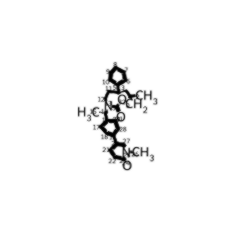 C=C(C)C[C@]1(c2ccccc2)CCN([C@@H](C)c2ccc(-c3ccc(=O)n(C)c3)cc2)C(=O)O1